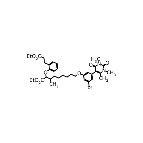 CCOC(=O)CCc1ccccc1OC(C(=O)OCC)C(C)CCCCCCOc1cc(Br)cc(-c2c(C)n(C)c(=O)n(C)c2=O)c1